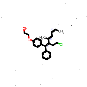 C\C=C/C=C(C)/C(CCCl)=C(/c1ccccc1)c1ccc(OCCO)cc1